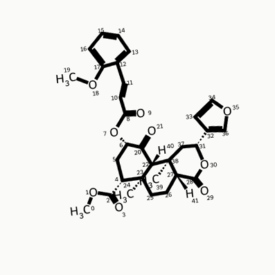 COC(=O)[C@@H]1C[C@H](OC(=O)/C=C/c2ccccc2OC)C(=O)[C@H]2[C@@]1(C)CC[C@H]1C(=O)O[C@@H](c3ccoc3)C[C@]21C